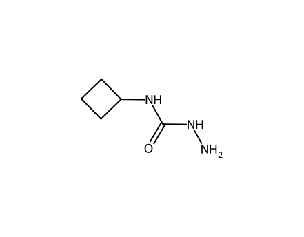 NNC(=O)NC1CCC1